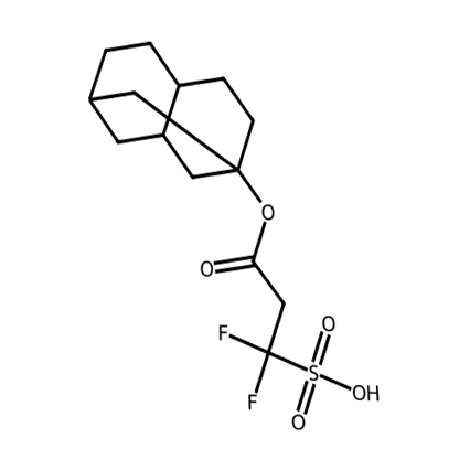 O=C(CC(F)(F)S(=O)(=O)O)OC12CCC3CCC(CC3C1)C2